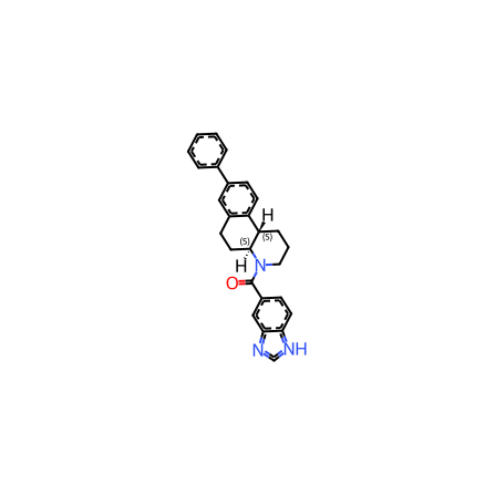 O=C(c1ccc2[nH]cnc2c1)N1CCC[C@H]2c3ccc(-c4ccccc4)cc3CC[C@@H]21